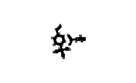 C=C(C)C(=O)O.C=Cc1ccc(S(=O)(=O)[O-])cc1.[Na+]